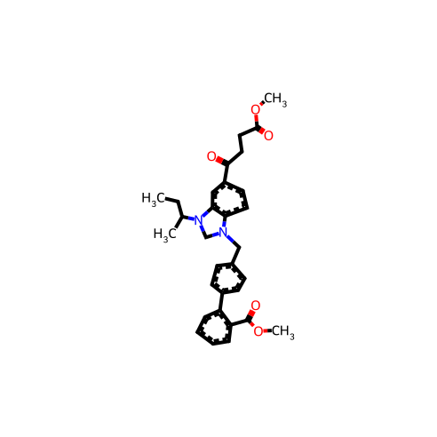 CCC(C)N1CN(Cc2ccc(-c3ccccc3C(=O)OC)cc2)c2ccc(C(=O)CCC(=O)OC)cc21